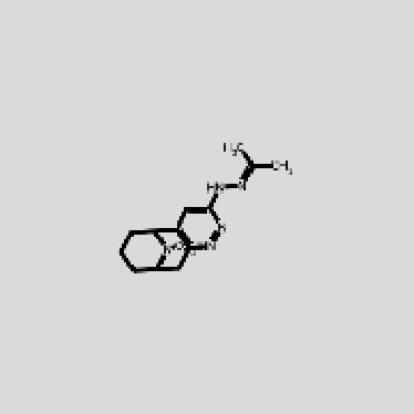 CCOC(=O)N1C2CCCC1c1cc(NN=C(C)C)nnc1C2